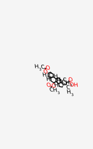 CC(=O)O[C@@H]1CC[C@@]2(C)[C@@H](C1)C[C@H](OC(C)=O)[C@@H]1[C@@H]2CC[C@]2(C)[C@@H]([C@H](C)C(C)C(=O)O)CC[C@@H]12